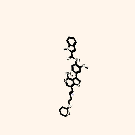 COc1cc(-c2csc3c(/C=C/CCOC4CCCCO4)cnc(N)c23)ccc1NC(=O)c1cc2ccccc2n1C